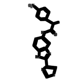 CC(C(=O)Nc1ccc2[nH]c(-c3cscn3)nc2c1)c1ccc([N+](=O)[O-])cc1